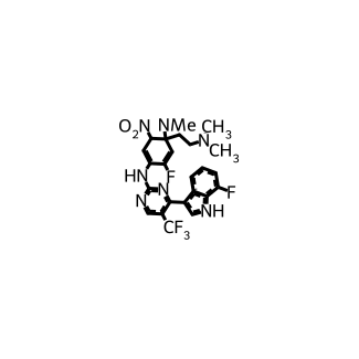 CNC1(CCN(C)C)C=C(F)C(Nc2ncc(C(F)(F)F)c(-c3c[nH]c4c(F)cccc34)n2)=CC1[N+](=O)[O-]